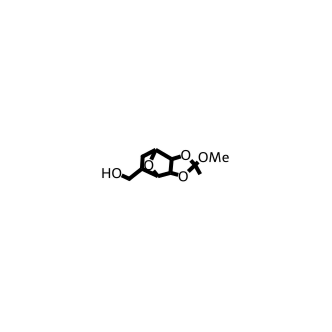 COC1(C)OC2C3CC(CO)C(O3)C2O1